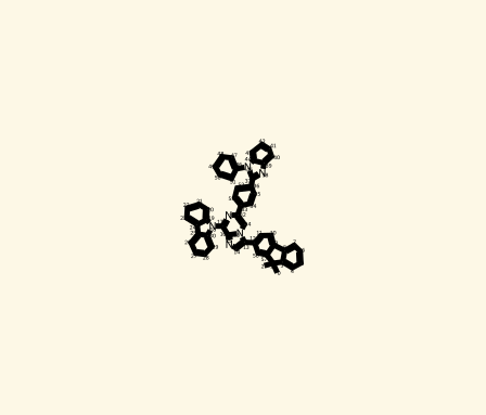 CC1(C)c2ccccc2-c2ccc(-c3cnc4c(-n5c6ccccc6c6ccccc65)nc(-c5ccc(-c6nc7ccccc7n6-c6ccccc6)cc5)cn34)cc21